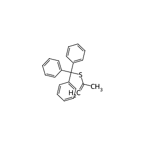 C=C(C)SC(c1ccccc1)(c1ccccc1)c1ccccc1